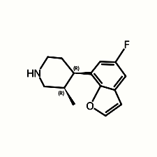 C[C@H]1CNCC[C@H]1c1cc(F)cc2ccoc12